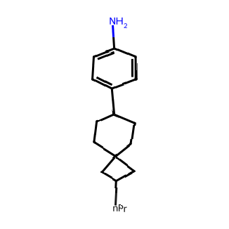 CCCC1CC2(CCC(c3ccc(N)cc3)CC2)C1